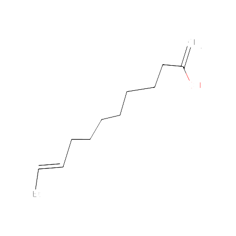 C=C(O)CCCCCCC/C=C/CC